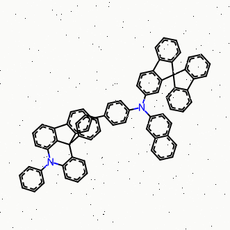 c1ccc(N2c3ccccc3C3(c4ccccc4)c4cc(-c5ccc(N(c6ccc7c(c6)C6(c8ccccc8-c8ccccc86)c6ccccc6-7)c6ccc7ccccc7c6)cc5)ccc4-c4cccc2c43)cc1